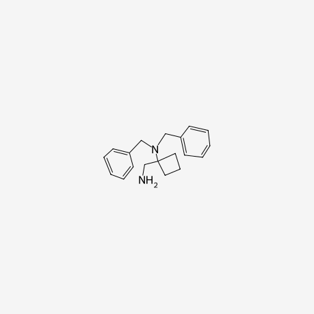 NCC1(N(Cc2ccccc2)Cc2ccccc2)CCC1